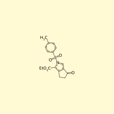 CCOC(=O)c1c2c(cn1S(=O)(=O)c1ccc(C)cc1)C(=O)CC2